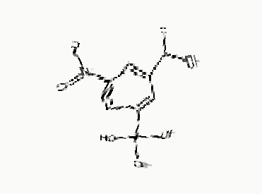 O=[N+]([O-])c1cc(C(O)Cl)cc(C(O)(O)O)c1